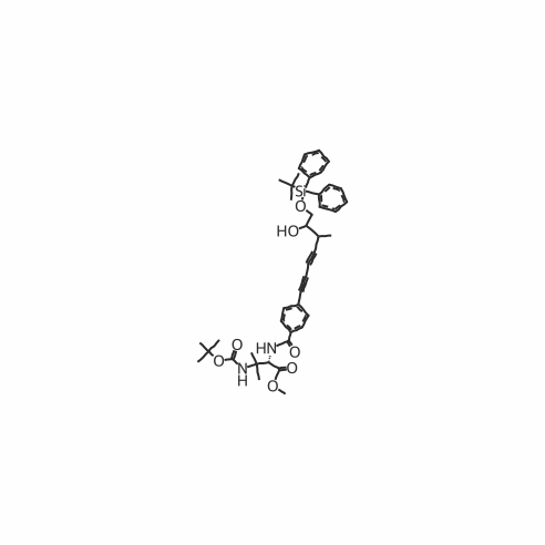 COC(=O)[C@@H](NC(=O)c1ccc(C#CC#CC(C)C(O)CO[Si](c2ccccc2)(c2ccccc2)C(C)(C)C)cc1)C(C)(C)NC(=O)OC(C)(C)C